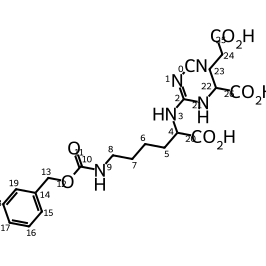 N#CN=C(NC(CCCCNC(=O)OCc1ccccc1)C(=O)O)NC(CCC(=O)O)C(=O)O